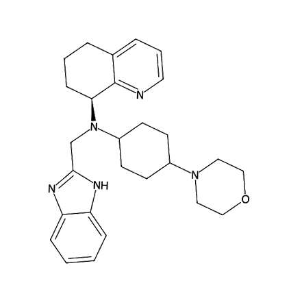 c1cnc2c(c1)CCC[C@@H]2N(Cc1nc2ccccc2[nH]1)C1CCC(N2CCOCC2)CC1